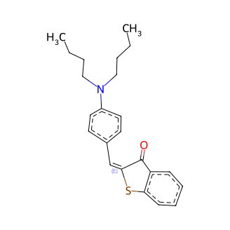 CCCCN(CCCC)c1ccc(/C=C2/Sc3ccccc3C2=O)cc1